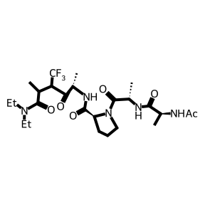 CCN(CC)C(=O)C(C)C(C(=O)[C@H](C)NC(=O)[C@@H]1CCCN1C(=O)[C@H](C)NC(=O)[C@H](C)NC(C)=O)C(F)(F)F